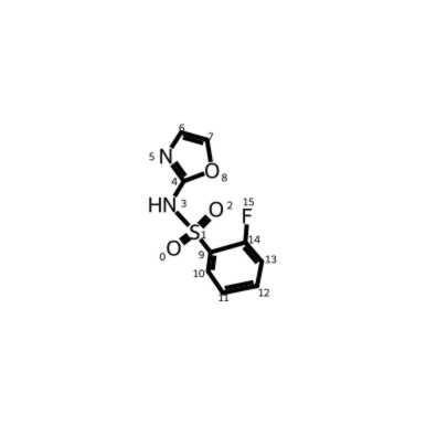 O=S(=O)(Nc1ncco1)c1ccccc1F